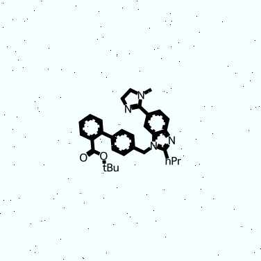 CCCc1nc2ccc(C3=NCCN3C)cc2n1Cc1ccc(-c2ccccc2C(=O)OC(C)(C)C)cc1